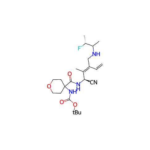 C=C/C(CNC(C)[C@@H](C)F)=C(/C)[C@@H](C#N)NC(=O)C1(NC(=O)OC(C)(C)C)CCOCC1